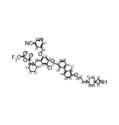 Cc1c(COc2cc(OCc3cncc(C#N)c3)c(CN3CCCC[C@H]3C(=O)OC(=O)C(F)(F)F)cc2Cl)cccc1-c1cccc(OCCCN2CCC3(CC2)CNC3)c1C